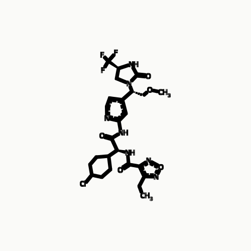 CCc1nonc1C(=O)N[C@H](C(=O)Nc1cc([C@@H](COC)N2C[C@@H](C(F)(F)F)NC2=O)ccn1)C1CCC(Cl)CC1